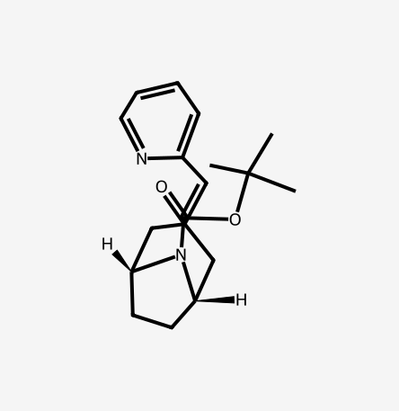 CC(C)(C)OC(=O)N1[C@@H]2CC[C@H]1C/C(=C/c1ccccn1)C2